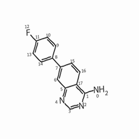 Nc1ncnc2cc(-c3ccc(F)cc3)ccc12